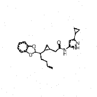 C=CCCC(C1Oc2ccccc2O1)C1CC1CC(=O)Nc1cc(C2CC2)n[nH]1